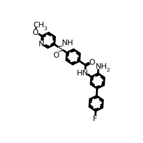 COc1ccc(S(=N)(=O)c2ccc(C(=O)Nc3cc(-c4ccc(F)cc4)ccc3N)cc2)cn1